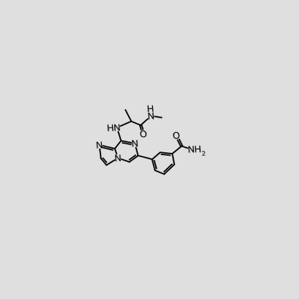 CNC(=O)C(C)Nc1nc(-c2cccc(C(N)=O)c2)cn2ccnc12